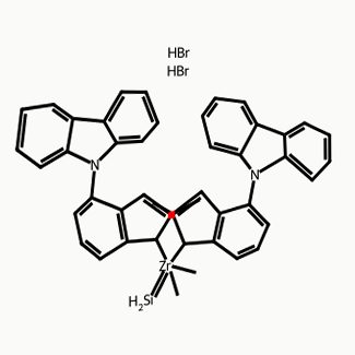 Br.Br.CC1=Cc2c(cccc2-n2c3ccccc3c3ccccc32)[CH]1[Zr]([CH3])([CH3])(=[SiH2])[CH]1C(C)=Cc2c1cccc2-n1c2ccccc2c2ccccc21